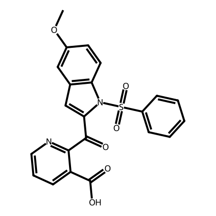 COc1ccc2c(c1)cc(C(=O)c1ncccc1C(=O)O)n2S(=O)(=O)c1ccccc1